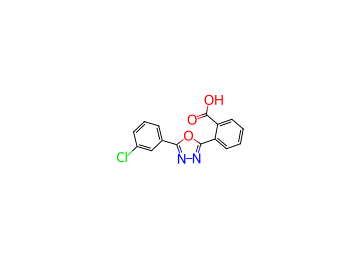 O=C(O)c1ccccc1-c1nnc(-c2cccc(Cl)c2)o1